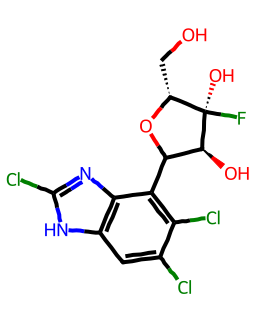 OC[C@H]1OC(c2c(Cl)c(Cl)cc3[nH]c(Cl)nc23)[C@H](O)[C@]1(O)F